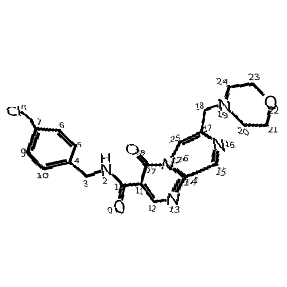 O=C(NCc1ccc(Cl)cc1)c1cnc2cnc(CN3CCOCC3)cn2c1=O